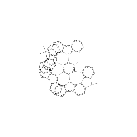 CC1(C)c2ccccc2-c2c1ccc1c3ccccc3n(-c3c(C#N)c(C#N)c(-n4c5ccccc5c5ccc6c(c54)-c4ccccc4C6(C)C)c(-n4c5ccccc5c5ccccc54)c3-n3c4ccccc4c4ccccc43)c21